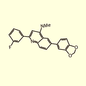 CNc1cc(-c2cccc(F)c2)nc2ccc(-c3ccc4c(c3)OCO4)cc12